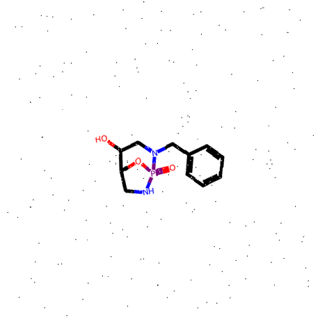 O=P12NCC(O1)C(O)CN2Cc1ccccc1